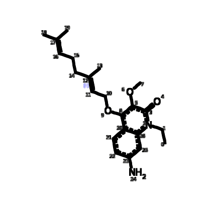 CCn1c(=O)c(OC)c(OC/C=C(\C)CCC=C(C)C)c2ccc(N)cc21